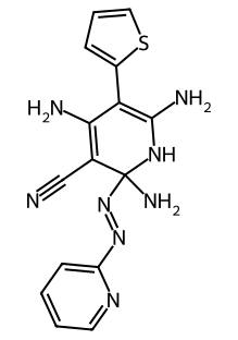 N#CC1=C(N)C(c2cccs2)=C(N)NC1(N)N=Nc1ccccn1